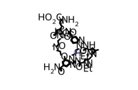 CCn1nc(C)cc1C(=O)Nc1nc2cc(S(N)(=O)=O)ccc2n1C/C=C/Cn1c(NC(=O)c2cc(C)nn2CC)nc2cc(C(N)=O)cc(OCCCN(C)C(=O)CCN3C(=O)CC(SC[C@H](N)C(=O)O)C3=O)c21